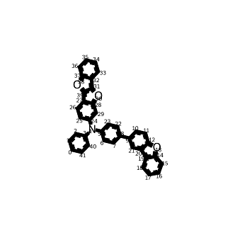 c1ccc(N(c2ccc(-c3ccc4oc5ccccc5c4c3)cc2)c2ccc3c(c2)oc2c4ccccc4oc32)cc1